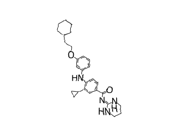 O=C(N=C1NCCCN1)c1ccc(Nc2cccc(OCCC3CCCCC3)c2)c(C2CC2)c1